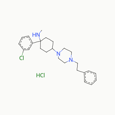 CNC1(c2cccc(Cl)c2)CCC(N2CCN(CCc3ccccc3)CC2)CC1.Cl